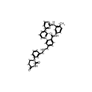 Cc1ccc(NC(=O)c2ccc(CNCc3cccc(N4CCC(=O)NC4=O)c3)cc2)cc1Nc1nccc(-c2cccnc2)n1